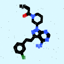 C=CC(=O)N1CCCC(n2nc(C=Cc3cccc(Cl)c3)c3c(N)ncnc32)C1